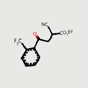 CCOC(=O)C(C#N)CC(=O)c1ccccc1C(F)(F)F